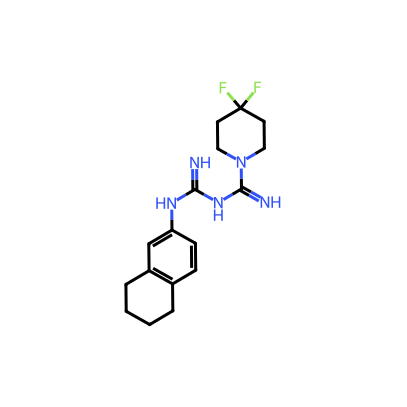 N=C(NC(=N)N1CCC(F)(F)CC1)Nc1ccc2c(c1)CCCC2